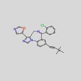 C[Si](C)(C)C#Cc1ccc2c(c1)C(c1ccccc1Cl)=NCc1c(-c3cnco3)ncn1-2